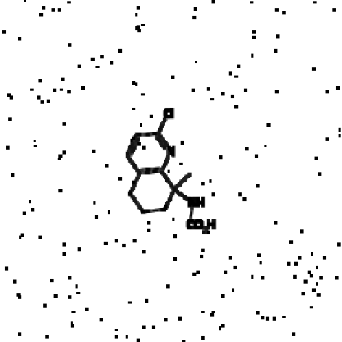 CC1(NC(=O)O)CCCc2ccc(Cl)nc21